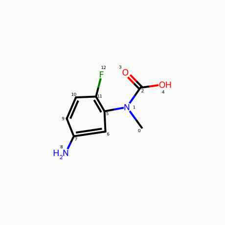 CN(C(=O)O)c1cc(N)ccc1F